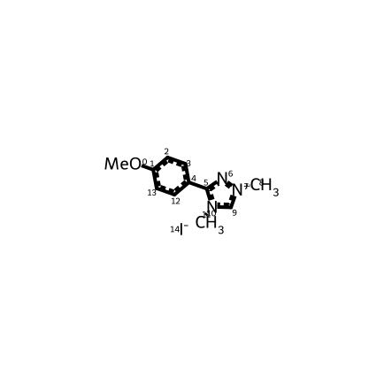 COc1ccc(-c2n[n+](C)cn2C)cc1.[I-]